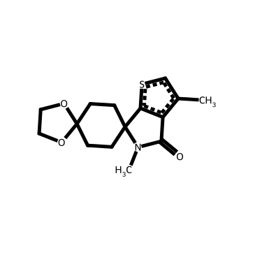 Cc1csc2c1C(=O)N(C)C21CCC2(CC1)OCCO2